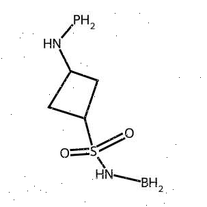 BNS(=O)(=O)C1CC(NP)C1